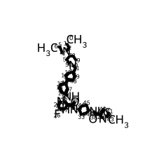 CCCN(CCC)C1CCN(Cc2ccc(-c3cccc(Nc4ncc(F)cc4C(=O)N[C@H]4CC[C@@H](NC(=O)c5csc(C)n5)CC4)c3)cc2)CC1